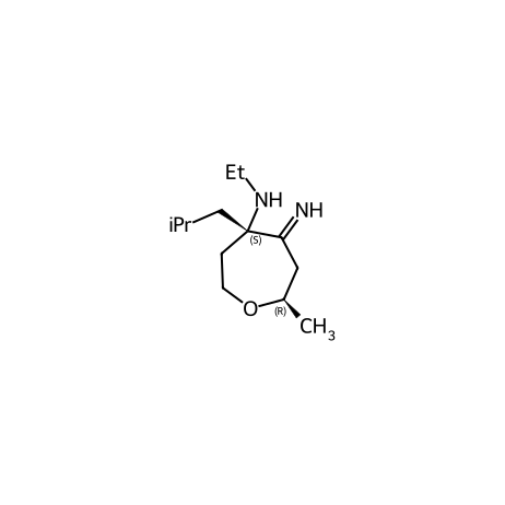 CCN[C@@]1(CC(C)C)CCO[C@H](C)CC1=N